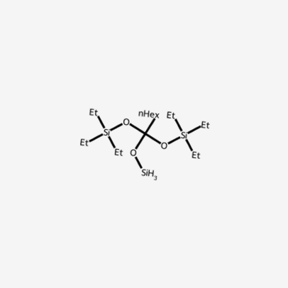 CCCCCCC(O[SiH3])(O[Si](CC)(CC)CC)O[Si](CC)(CC)CC